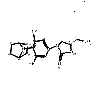 NC[C@H]1CN(c2cc(F)c(N3C4CCC3SC4)c(F)c2)C(=O)O1